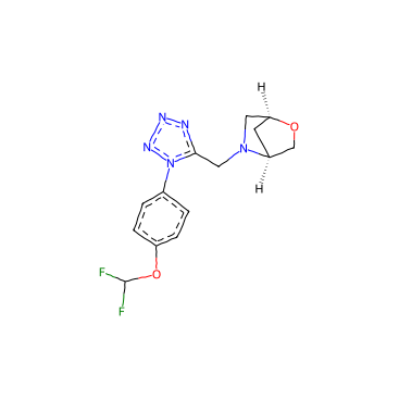 FC(F)Oc1ccc(-n2nnnc2CN2C[C@@H]3C[C@H]2CO3)cc1